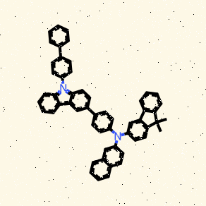 CC1(C)c2ccccc2-c2cc(N(c3ccc(-c4ccc5c(c4)c4ccccc4n5-c4ccc(-c5ccccc5)cc4)cc3)c3ccc4ccccc4c3)ccc21